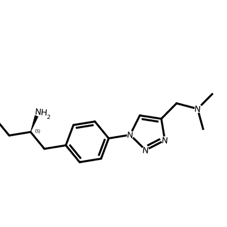 CN(C)Cc1cn(-c2ccc(C[C@H](N)CF)cc2)nn1